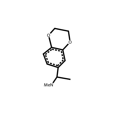 CNC(C)c1ccc2c(c1)OCCO2